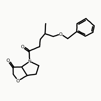 CC(CCC(=O)N1CCC2OCC(=O)C21)COCc1ccccc1